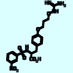 N=C(N)NOCCCOc1ccc(C[C@H](NS(=O)(=O)c2cccc([N+](=O)[O-])c2)C(=O)O)cc1